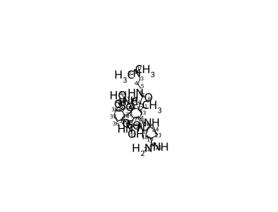 CN(C)CCCNC(=O)C(C)(C)c1cc(-c2nc3cc(C(=N)N)ccc3[nH]2)c(S(=O)(=O)NO)c(-c2ccccc2S(=O)(=O)NO)c1